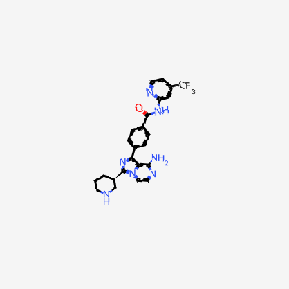 Nc1nccn2c([C@@H]3CCCNC3)nc(-c3ccc(C(=O)Nc4cc(C(F)(F)F)ccn4)cc3)c12